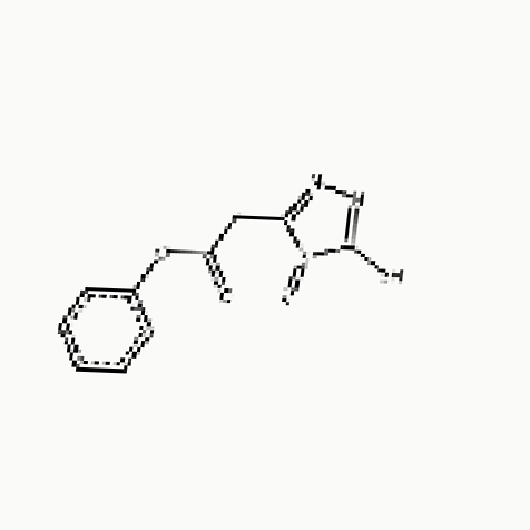 O=C(CC1=NN=C(S)S1=S)Oc1ccccc1